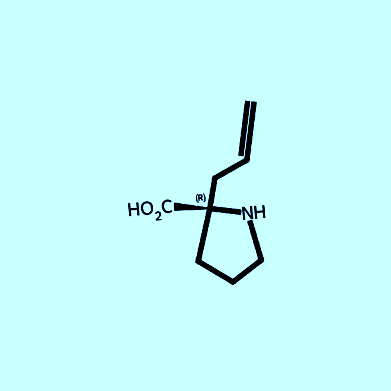 C=CC[C@@]1(C(=O)O)CCCN1